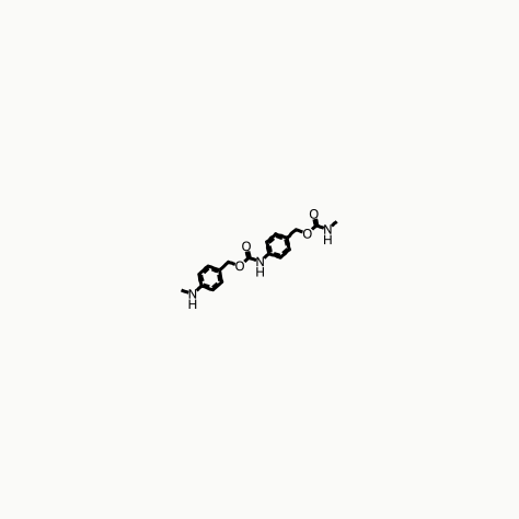 CNC(=O)OCc1ccc(NC(=O)OCc2ccc(NC)cc2)cc1